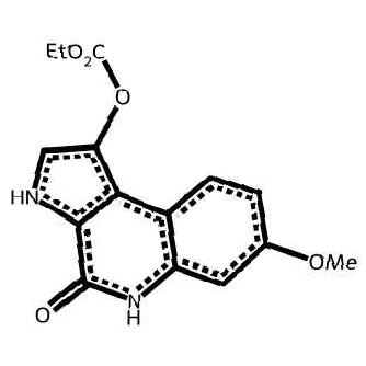 CCOC(=O)Oc1c[nH]c2c(=O)[nH]c3cc(OC)ccc3c12